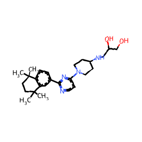 CC1(C)CCC(C)(C)c2cc(-c3nccc(N4CCC(NCC(O)CO)CC4)n3)ccc21